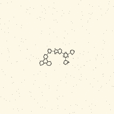 C1=c2cccc(-c3nc(-c4ccccc4)nc(-c4ccc5sc(-c6cccc(-c7ccc8c9ccccc9c9ccccc9c8c7)c6)nc5c4)n3)c2=1